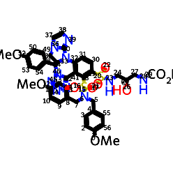 COc1ccc(CN(Cc2ccc(OC)cc2)S(=O)(=O)c2c(S(=O)(=O)NC[C@H](O)CNC(=O)O)ccc(N3CCn4ccnc43)c2-c2nnnn2Cc2ccc(OC)cc2)cc1